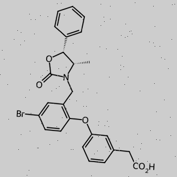 C[C@H]1[C@@H](c2ccccc2)OC(=O)N1Cc1cc(Br)ccc1Oc1cccc(CC(=O)O)c1